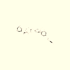 CC#CCOc1ccc(S(=O)(=O)CC(=O)OC2CCN(C(=O)c3ccccc3)CC2)cc1